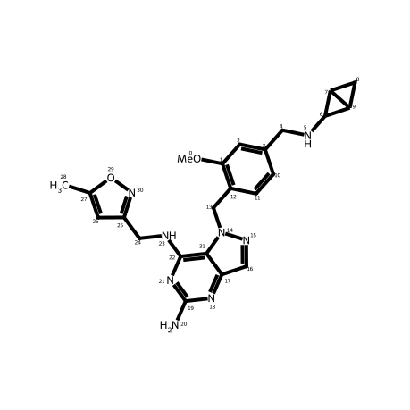 COc1cc(CNC2C3CC32)ccc1Cn1ncc2nc(N)nc(NCc3cc(C)on3)c21